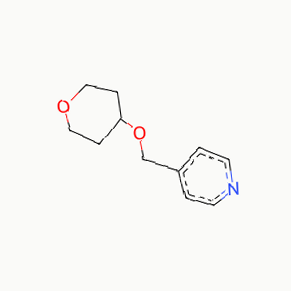 c1cc(COC2CCOCC2)ccn1